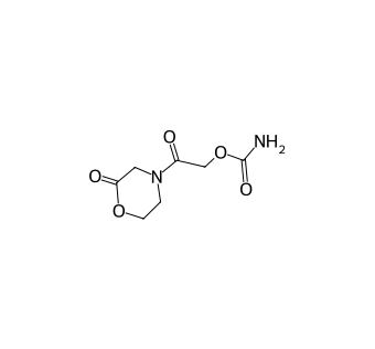 NC(=O)OCC(=O)N1CCOC(=O)C1